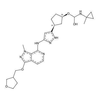 Cn1nc(OCC2CCOC2)c2ccnc(Nc3cc([C@H]4CC[C@@H](OC(O)NC5(C)CC5)C4)[nH]n3)c21